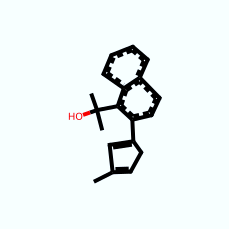 CC1=CCC(c2ccc3ccccc3c2C(C)(C)O)=C1